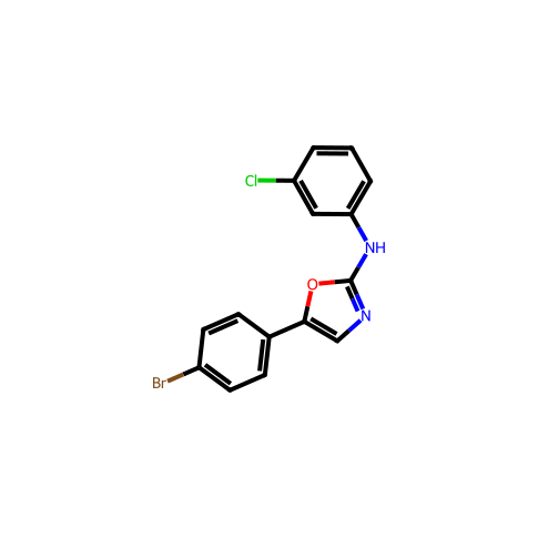 Clc1cccc(Nc2ncc(-c3ccc(Br)cc3)o2)c1